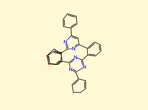 C1=CC(c2nc(-c3ccccc3)nc(-c3ccccc3-c3cc(-c4ccccc4)nc(-c4ccccc4)n3)n2)=CCC1